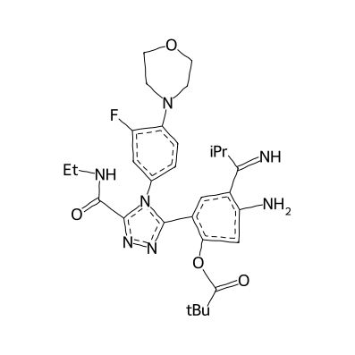 CCNC(=O)c1nnc(-c2cc(C(=N)C(C)C)c(N)cc2OC(=O)C(C)(C)C)n1-c1ccc(N2CCOCC2)c(F)c1